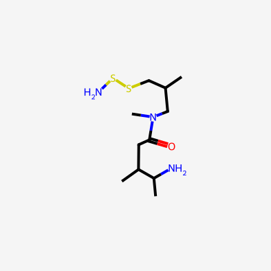 CC(CSSN)CN(C)C(=O)CC(C)C(C)N